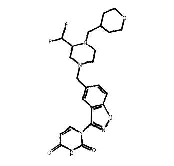 O=c1ccn(-c2noc3ccc(CN4CCN(CC5CCOCC5)C(C(F)F)C4)cc23)c(=O)[nH]1